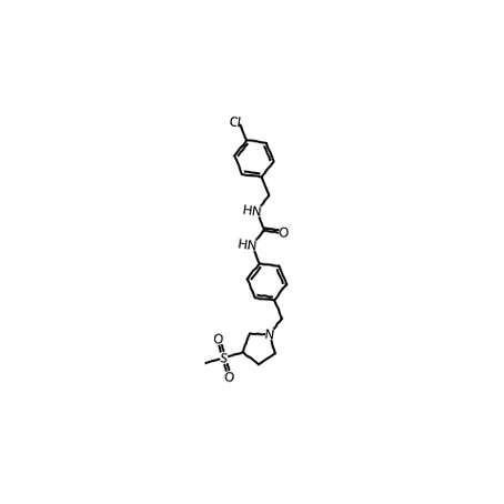 CS(=O)(=O)C1CCN(Cc2ccc(NC(=O)NCc3ccc(Cl)cc3)cc2)C1